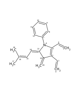 C=Cc1c(C=C)n(-c2ccccc2)/c(=C/C=C(C)C)c1=C